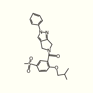 CC(C)COc1ccc(S(C)(=O)=O)cc1C(=O)N1Cc2cn(-c3ccccc3)nc2C1